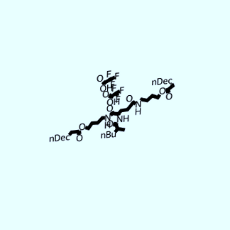 CCCCCCCCCCCC(=O)OCCCCNC(=O)CCC(NC(=O)C(C)CCCC)C(=O)NCCCCOC(=O)CCCCCCCCCCC.O=C(O)C(F)(F)F.O=C(O)C(F)(F)F